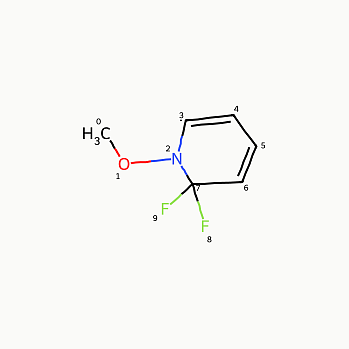 CON1[C]=CC=CC1(F)F